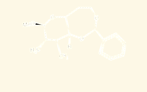 CO[C@H]1OC2CCOC(c3ccccc3)O[C@H]2C(C)[C@@H]1C